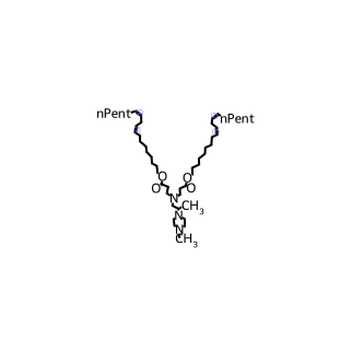 CCCCC/C=C\C/C=C\CCCCCCCCOC(=O)CCN(CCC(=O)OCCCCCCCC/C=C\C/C=C\CCCCC)CC(C)N1CCN(C)CC1